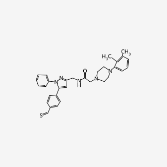 Cc1cccc(N2CCN(CC(=O)NCc3cc(-c4ccc(C=S)cc4)n(-c4ccccc4)n3)CC2)c1C